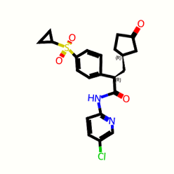 O=C1CC[C@H](C[C@@H](C(=O)Nc2ccc(Cl)cn2)c2ccc(S(=O)(=O)C3CC3)cc2)C1